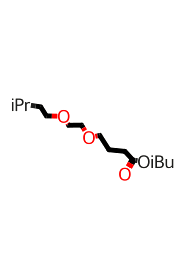 CC(C)CCOCCOCCCC(=O)OCC(C)C